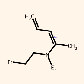 C=C/C=C(/C)N(CC)CCC(C)C